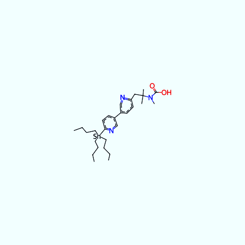 CCC[CH2][Sn]([CH2]CCC)([CH2]CCC)[c]1ccc(-c2ccc(CC(C)(C)N(C)C(=O)O)nc2)cn1